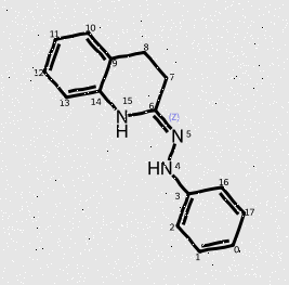 c1ccc(N/N=C2/CCc3ccccc3N2)cc1